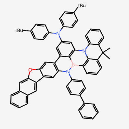 CC(C)(C)c1ccc(N(c2ccc(C(C)(C)C)cc2)c2cc3c4c(c2)N2c5ccccc5C(C)(C)c5cccc(c52)B4N(c2ccc(-c4ccccc4)cc2)c2cc4c(cc2-3)oc2cc3ccccc3cc24)cc1